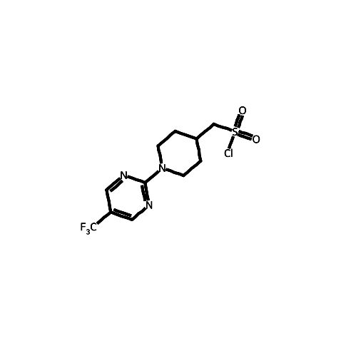 O=S(=O)(Cl)CC1CCN(c2ncc(C(F)(F)F)cn2)CC1